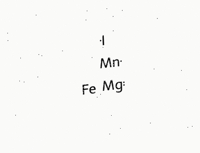 [Fe].[I].[Mg].[Mn]